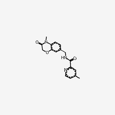 Cc1ccnc(C(=O)NCc2ccc3c(c2)OCC(=O)N3C)c1